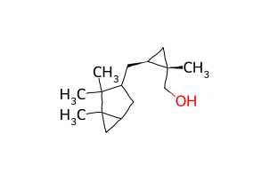 CC1(C)C(C[C@H]2C[C@]2(C)CO)CC2CC21C